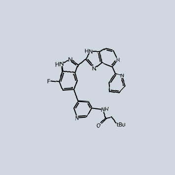 CC(C)(C)CC(=O)Nc1cncc(-c2cc(F)c3[nH]nc(-c4nc5c(-c6ccccn6)nccc5[nH]4)c3c2)c1